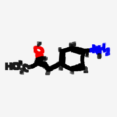 Nc1ccc(CC(=O)C(=O)O)cc1